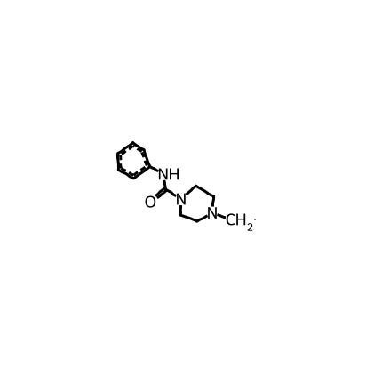 [CH2]N1CCN(C(=O)Nc2ccccc2)CC1